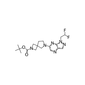 CC(C)(C)OC(=O)N1CC2(CCN(c3cnc4cnn(CC(F)F)c4n3)C2)C1